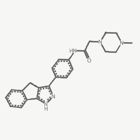 CN1CCN(CC(=O)Nc2ccc(-c3n[nH]c4c3Cc3ccccc3-4)cc2)CC1